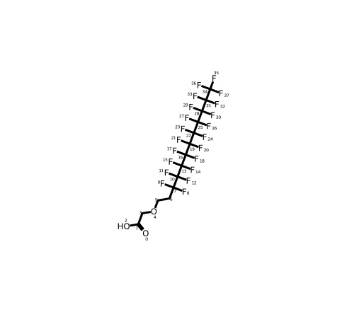 O=C(O)COCCC(F)(F)C(F)(F)C(F)(F)C(F)(F)C(F)(F)C(F)(F)C(F)(F)C(F)(F)C(F)(F)C(F)(F)F